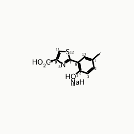 Cc1ccc(O)c(-c2nc(C(=O)O)cs2)c1.[NaH]